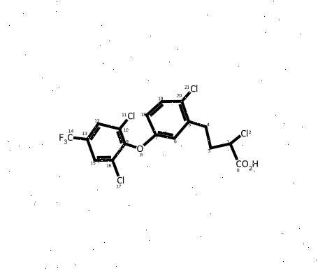 O=C(O)C(Cl)CCc1cc(Oc2c(Cl)cc(C(F)(F)F)cc2Cl)ccc1Cl